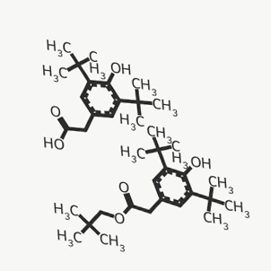 CC(C)(C)COC(=O)Cc1cc(C(C)(C)C)c(O)c(C(C)(C)C)c1.CC(C)(C)c1cc(CC(=O)O)cc(C(C)(C)C)c1O